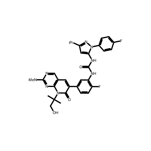 CNc1ncc2cc(-c3ccc(F)c(NC(=O)Nc4cc(C(C)C)nn4-c4ccc(F)cc4)c3)c(=O)n(C(C)(C)CO)c2n1